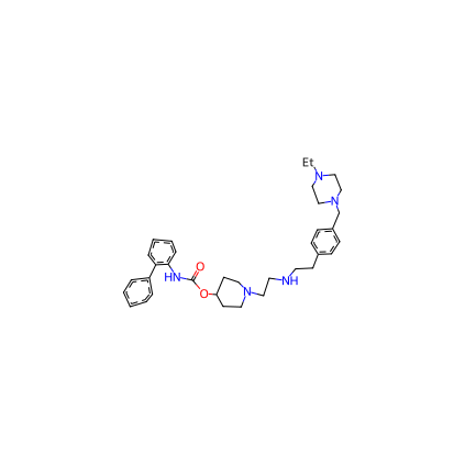 CCN1CCN(Cc2ccc(CCNCCN3CCC(OC(=O)Nc4ccccc4-c4ccccc4)CC3)cc2)CC1